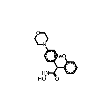 COc1ccccc1C(C(=O)NO)c1ccc(N2CCOCC2)cc1